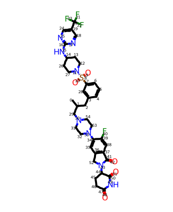 CC(Cc1cccc(S(=O)(=O)N2CCC(Nc3ncc(C(F)(F)F)cn3)CC2)c1)CN1CCN(c2cc3c(cc2F)C(=O)N(C2CCC(=O)NC2=O)C3)CC1